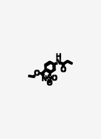 CCOC1=NS(=O)(=O)c2cc(NC(=O)CC)ccc21